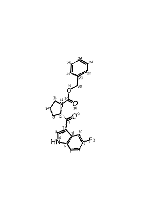 O=C(c1c[nH]c2ccc(F)cc12)[C@@H]1CCCN1C(=O)OCc1ccccc1